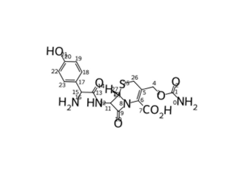 NC(=O)OCC1=C(C(=O)O)N2C(=O)C(NC(=O)C(N)c3ccc(O)cc3)[C@@H]2SC1